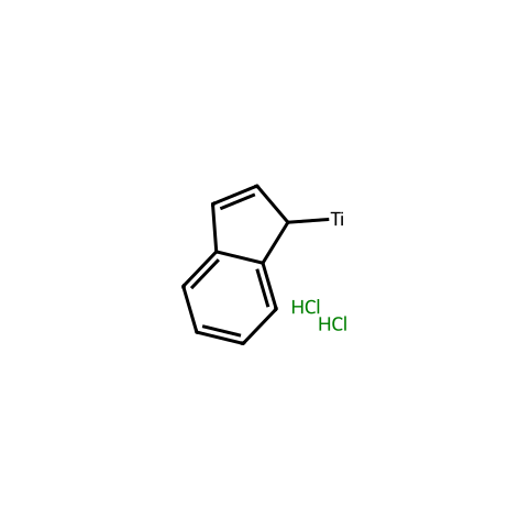 Cl.Cl.[Ti][CH]1C=Cc2ccccc21